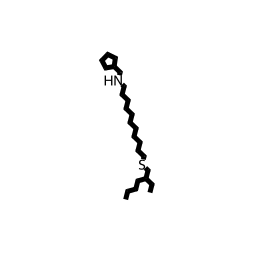 CCCCC(CC)CSCCCCCCCCCCCNCC1CCCC1